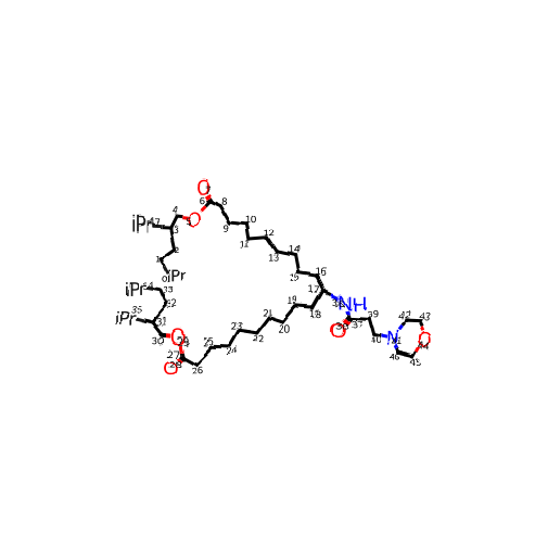 CC(C)CCC(COC(=O)CCCCCCCCCC(CCCCCCCCCC(=O)OCC(CCC(C)C)C(C)C)NC(=O)CCN1CCOCC1)C(C)C